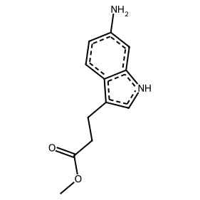 COC(=O)CCc1c[nH]c2cc(N)ccc12